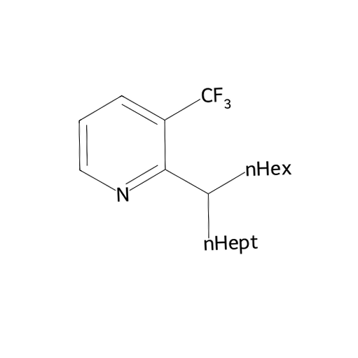 CCCCCCCC(CCCCCC)c1ncccc1C(F)(F)F